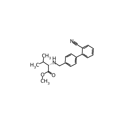 COC(=O)[C@@H](NCc1ccc(-c2ccccc2C#N)cc1)C(C)C